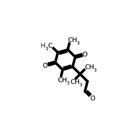 CC1=C(C)C(=O)C(C(C)(C)CC=O)=C(C)C1=O